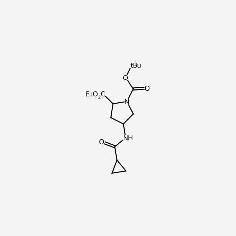 CCOC(=O)C1CC(NC(=O)C2CC2)CN1C(=O)OC(C)(C)C